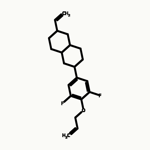 C=CCOc1c(F)cc(C2CCC3CC(C=C)CCC3C2)cc1F